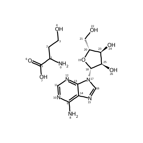 NC(CCO)C(=O)O.Nc1ncnc2c1ncn2[C@@H]1O[C@H](CO)[C@@H](O)[C@H]1O